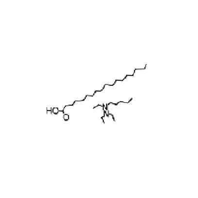 CCCCCCCCCCCCCCCCCC(=O)O.CCCCCN(CC)N(CC)CC